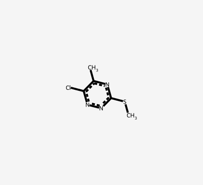 CSc1nnc(Cl)c(C)n1